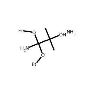 CCOC(N)(OCC)C(C)(C)O.N